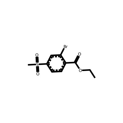 CCOC(=O)c1ccc(S(C)(=O)=O)cc1Br